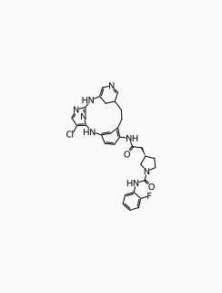 O=C(C[C@H]1CCN(C(=O)Nc2ccccc2F)C1)Nc1ccc2cc1CCC1C=NC=C(C1)Nc1ncc(Cl)c(n1)N2